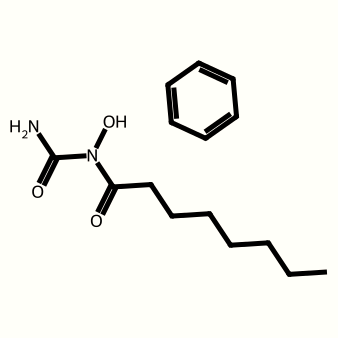 CCCCCCCC(=O)N(O)C(N)=O.c1ccccc1